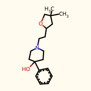 CC1(C)COC(CCN2CCC(O)(c3ccccc3)CC2)C1